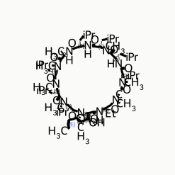 C/C=C/C[C@@H](C)[C@@H](O)[C@H]1C(=O)N[C@@H](CC)C(=O)N(C)CC(=O)N(C)[C@@H](C(C)C)C(=O)N[C@@H](CC(C)C)C(=O)N(C)[C@@H](CC(C)C)C(=O)N[C@@H](CC(C)C)C(=O)N[C@H](C)C(=O)N(C)[C@@H](CC(C)C)C(=O)N(C)[C@@H](CC(C)C)C(=O)N(C)[C@@H](C(C)C)C(=O)N1C